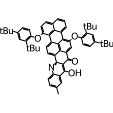 Cc1ccc2nc3c(c(O)c2c1)C(=O)c1cc(Oc2ccc(C(C)(C)C)cc2C(C)(C)C)c2c4cccc5ccc(Oc6ccc(C(C)(C)C)cc6C(C)(C)C)c(c6ccc-3c1c62)c54